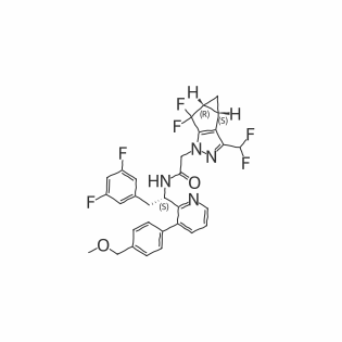 COCc1ccc(-c2cccnc2[C@H](Cc2cc(F)cc(F)c2)NC(=O)Cn2nc(C(F)F)c3c2C(F)(F)[C@@H]2C[C@H]32)cc1